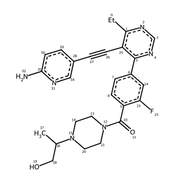 CCc1ncnc(-c2ccc(C(=O)N3CCN(C(C)CO)CC3)c(F)c2)c1C#Cc1ccc(N)nc1